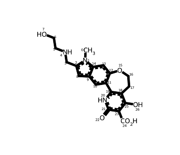 Cn1c(CNCCO)cc2cc3c(cc21)OCCc1c-3[nH]c(=O)c(C(=O)O)c1O